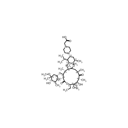 CC[C@H]1OC(=O)[C@H](C)[C@@H](O[C@H]2C[C@@](C)(OC)[C@@H](O)[C@H](C)O2)[C@H](C)[C@@H](O[C@@H]2O[C@H](C)C[C@@H](N3CCN(CC(=O)O)CC3)[C@@H]2N(C)C)[C@@](C)(OC)C[C@@H](C)C(=O)[C@H](C)[C@@H](O)[C@]1(C)O